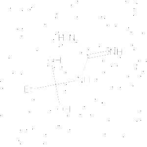 [CH2]CC(O)(O)NC(=N)N